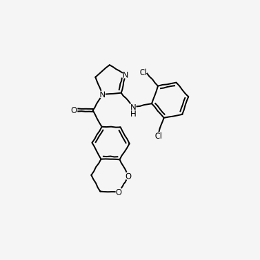 O=C(c1ccc2c(c1)CCOO2)N1CCN=C1Nc1c(Cl)cccc1Cl